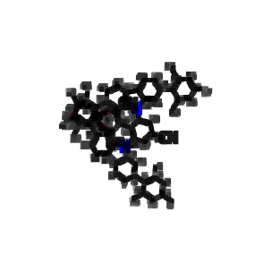 Cc1cc(C)c(-c2ccc3c4ccc(-c5c(C)cc(C)cc5C)cc4n(-c4cc(C#N)cc(-n5c6cc(-c7c(C)cc(C)cc7C)ccc6c6ccc(-c7c(C)cc(C)cc7C)cc65)c4-c4c(C#N)cccc4C(F)(F)F)c3c2)c(C)c1